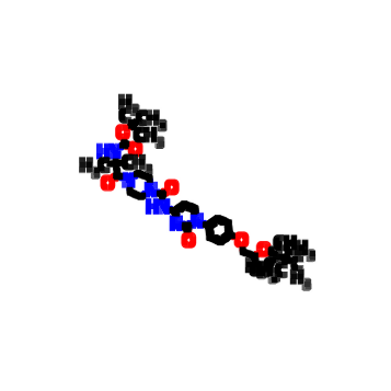 CC(COc1ccc(-n2ccc(NC(=O)N3CCN(C(=O)C(C)(C)NC(=O)OC(C)(C)C)CC3)nc2=O)cc1)O[Si](C)(C)C(C)(C)C